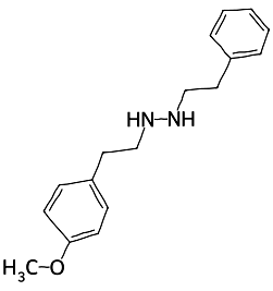 COc1ccc(CCNNCCc2ccccc2)cc1